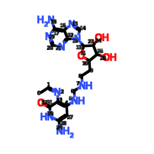 C/C=N\c1c(NCNCCC2OC(n3cnc4c(N)ncnc43)C(O)C2O)cc(N)[nH]c1=O